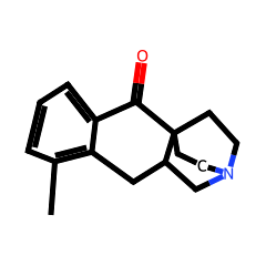 Cc1cccc2c1CC1CN3CCC1(CC3)C2=O